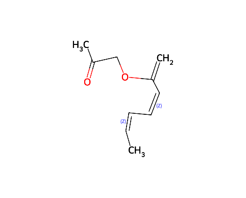 C=C(/C=C\C=C/C)OCC(C)=O